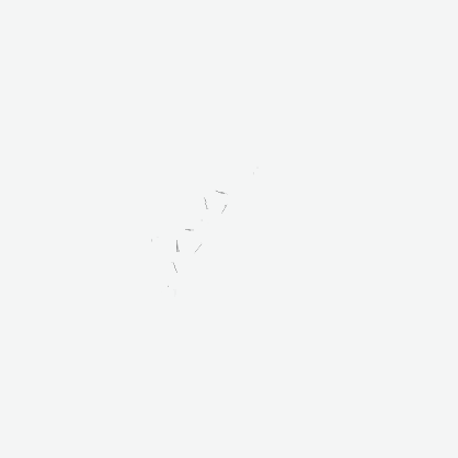 CCCc1cc(C(CC)(CC)c2ccc(OC[C@@H](O)CCC(=O)O)c(C)c2)ccc1C=CC(O)(CC)CC